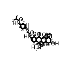 CC(C)C(=O)Nc1ccc(NCC(=O)Nc2ccc3c(c2O)C(=O)C2=C(O)C4(O)C(=O)CC(O)CC4C(O)C2C3(C)C(N)=O)cc1